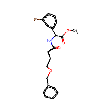 COC(=O)C(NC(=O)CCCOCc1ccccc1)c1cccc(Br)c1